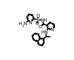 CC(Nc1ncccc1C(=O)NS(=O)(=O)c1cccc(N)n1)c1cccc2ccccc12